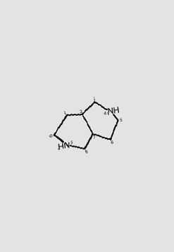 C1CC2CNCCC2CN1